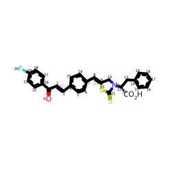 O=C(/C=C/c1ccc(/C=C2/CN([C@@H](Cc3ccccc3)C(=O)O)C(=S)S2)cc1)c1ccc(F)cc1